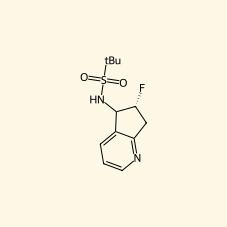 CC(C)(C)S(=O)(=O)NC1c2cccnc2C[C@H]1F